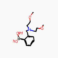 COCCN(CCOC)Cc1ccccc1B(O)O